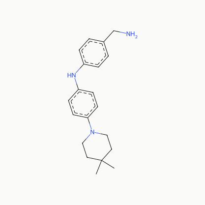 CC1(C)CCN(c2ccc(Nc3ccc(CN)cc3)cc2)CC1